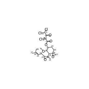 COC1C(OC(=O)N(Cl)C(=O)C(Cl)Cl)CCC2(CO2)C1C1(C)OC1CC=C(C)C